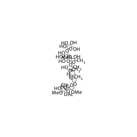 CO[C@H]1[C@@H](O)[C@@H](C)O[C@@H](O[C@H]2[C@@H](OC)C[C@H](O[C@H]3CC[C@@]4(C)C(=CC[C@H]5[C@@H]6C[C@@H](O)[C@H](C(C)O[C@@H]7O[C@H](C)[C@H](O)[C@H](OC)C7O[C@H]7O[C@H](CO[C@@H]8O[C@H](CO)[C@@H](O)[C@H](O)[C@H]8O)[C@@H](O)[C@H](O)[C@H]7O)[C@@]6(C)CC[C@@H]54)C3)O[C@@H]2C)[C@@H]1OC(C)=O